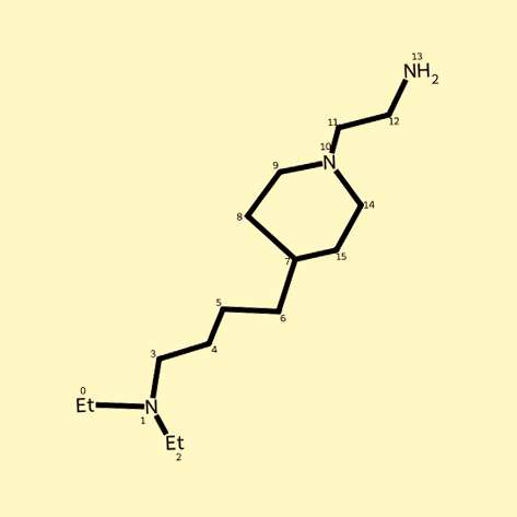 CCN(CC)CCCCC1CCN(CCN)CC1